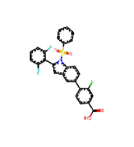 O=C(O)c1ccc(-c2ccc3c(c2)cc(-c2c(F)cccc2F)n3S(=O)(=O)c2ccccc2)c(Cl)c1